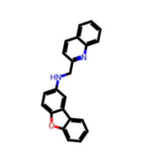 c1ccc2nc(CNc3ccc4oc5ccccc5c4c3)ccc2c1